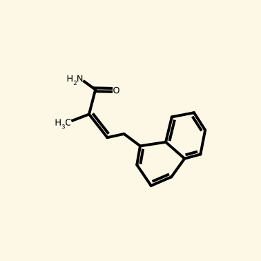 CC(=CCc1cccc2ccccc12)C(N)=O